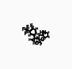 CS(=O)(=O)N(CC1CCCN1)C1(c2ccc(F)c(C(F)(F)F)c2)CC1